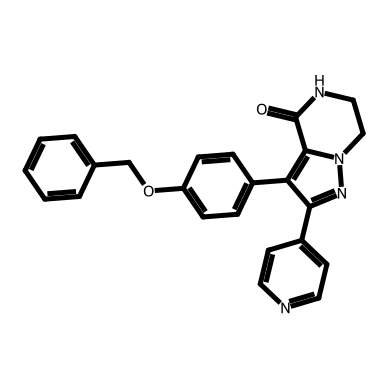 O=C1NCCn2nc(-c3ccncc3)c(-c3ccc(OCc4ccccc4)cc3)c21